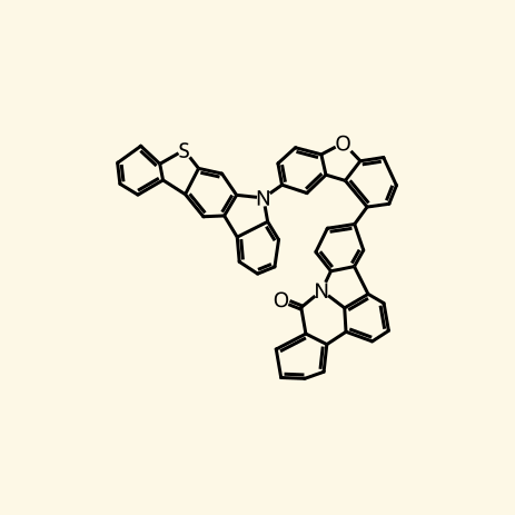 O=c1c2ccccc2c2cccc3c4cc(-c5cccc6oc7ccc(-n8c9ccccc9c9cc%10c(cc98)sc8ccccc8%10)cc7c56)ccc4n1c23